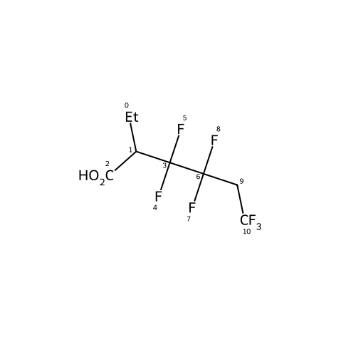 CCC(C(=O)O)C(F)(F)C(F)(F)CC(F)(F)F